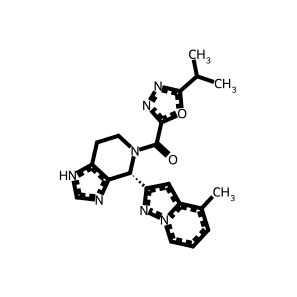 Cc1cccn2nc([C@@H]3c4nc[nH]c4CCN3C(=O)c3nnc(C(C)C)o3)cc12